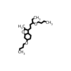 CCCCOC(CC)CCC1C(C)OC2CC(OCCCC)CCC21